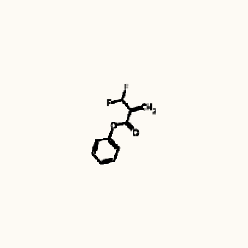 C=C(C(=O)Oc1ccccc1)C(F)F